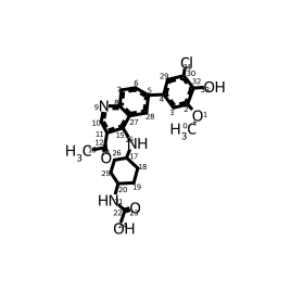 COc1cc(-c2ccc3ncc(C(C)=O)c(NC4CCC(NC(=O)O)CC4)c3c2)cc(Cl)c1O